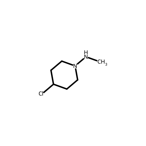 CNN1CCC(Cl)CC1